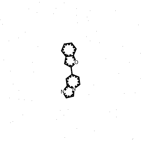 c1ccc2oc(-c3ccn4ccnc4c3)cc2c1